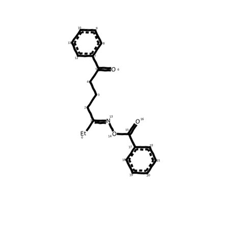 CCC(CCCC(=O)c1ccccc1)=NOC(=O)c1ccccc1